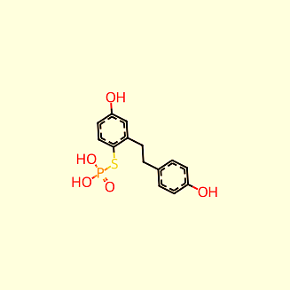 O=P(O)(O)Sc1ccc(O)cc1CCc1ccc(O)cc1